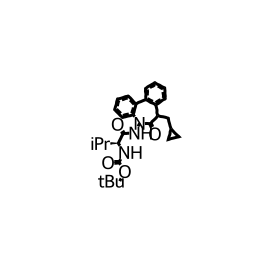 CC(C)[C@H](NC(=O)OC(C)(C)C)C(=O)NN1C(=O)C(CC2CC2)c2ccccc2-c2ccccc21